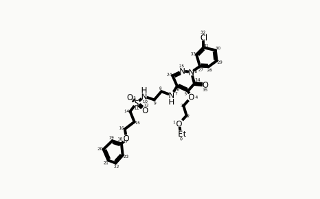 CCOCCOc1c(NCCNS(=O)(=O)CCCOc2ccccc2)cnn(-c2cccc(Cl)c2)c1=O